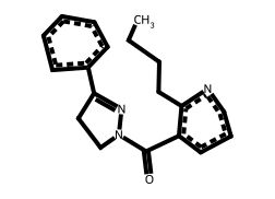 CCCCc1ncccc1C(=O)N1CCC(c2ccccc2)=N1